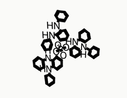 O=P(Oc1cccc(Nc2ccccc2)c1Nc1ccccc1)(Oc1cccc(Nc2ccccc2)c1Nc1ccccc1)Oc1cccc(Nc2ccccc2)c1Nc1ccccc1